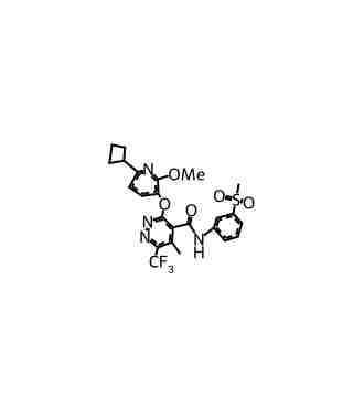 COc1nc(C2CCC2)ccc1Oc1nnc(C(F)(F)F)c(C)c1C(=O)Nc1cccc(S(C)(=O)=O)c1